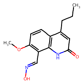 CCCc1cc(=O)[nH]c2c(/C=N/O)c(OC)ccc12